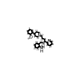 COc1ccccc1C1CCN(CCCC(NCc2ccccc2O)c2ccccn2)CC1